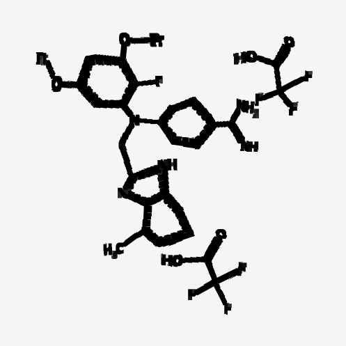 CCOc1cc(OC(C)C)c(F)c(N(Cc2nc3c(C)cccc3[nH]2)c2ccc(C(=N)N)cc2)c1.O=C(O)C(F)(F)F.O=C(O)C(F)(F)F